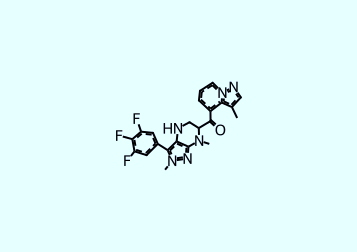 Cc1cnn2cccc(C(=O)C3CNc4c(nn(C)c4-c4cc(F)c(F)c(F)c4)N3C)c12